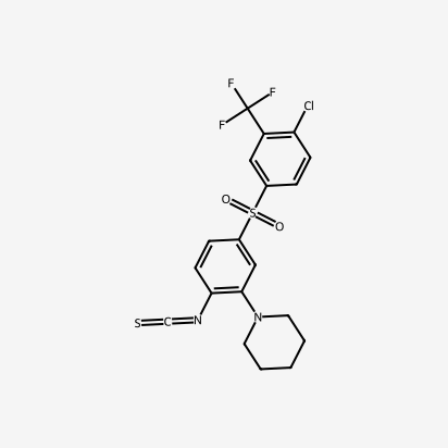 O=S(=O)(c1ccc(N=C=S)c(N2CCCCC2)c1)c1ccc(Cl)c(C(F)(F)F)c1